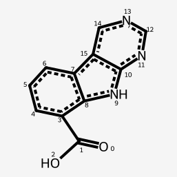 O=C(O)c1cccc2c1[nH]c1ncncc12